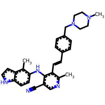 Cc1ncc(C#N)c(Nc2ccc3[nH]ccc3c2C)c1C=Cc1ccc(CN2CCN(C)CC2)cc1